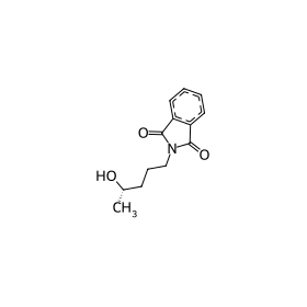 C[C@H](O)CCCN1C(=O)c2ccccc2C1=O